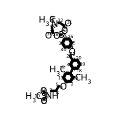 Cc1cc(OCCCNS(C)(=O)=O)cc(C)c1-c1cccc(COc2ccc(B3OC(=O)CN(C)CC(=O)O3)cc2)c1